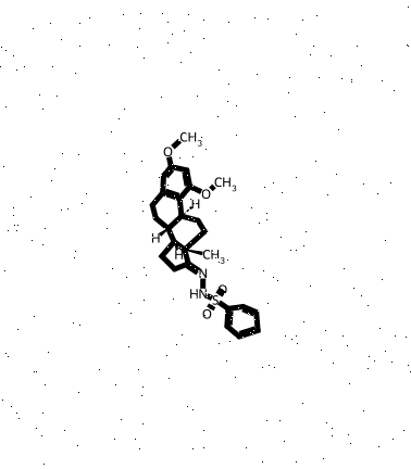 COc1cc2c(c(OC)c1)[C@H]1CC[C@]3(C)C(=NNS(=O)(=O)c4ccccc4)CC[C@H]3[C@@H]1CC2